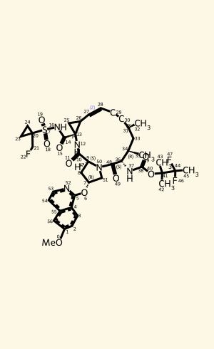 COc1ccc2c(O[C@@H]3C[C@H]4C(=O)N[C@]5(C(=O)NS(=O)(=O)C6(CF)CC6)CC5/C=C\CC[C@@H](C)C[C@@H](C)[C@H](NC(=O)OC(C)(C)C(C)(F)F)C(=O)N4C3)nccc2c1